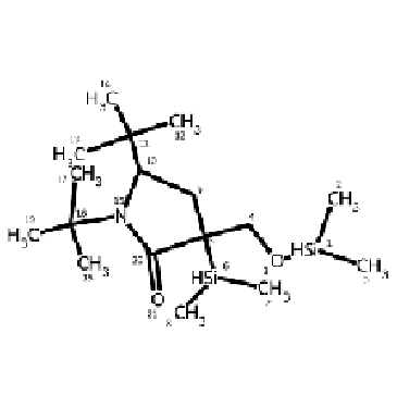 C[SiH](C)OCC1([SiH](C)C)CC(C(C)(C)C)N(C(C)(C)C)C1=O